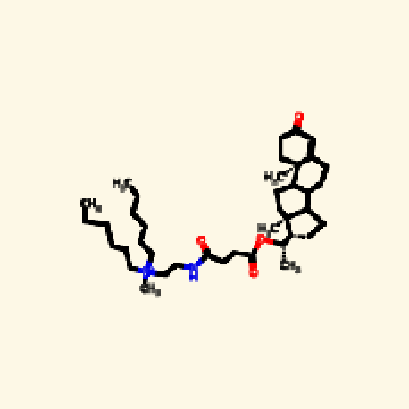 CCCCCC[N+](C)(CCCCCC)CCNC(=O)CCC(=O)O[C@@H](C)[C@H]1CCC2C3CCC4=CC(=O)CC[C@]4(C)C3CC[C@@]21C